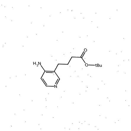 CC(C)(C)OC(=O)CCCc1cnccc1N